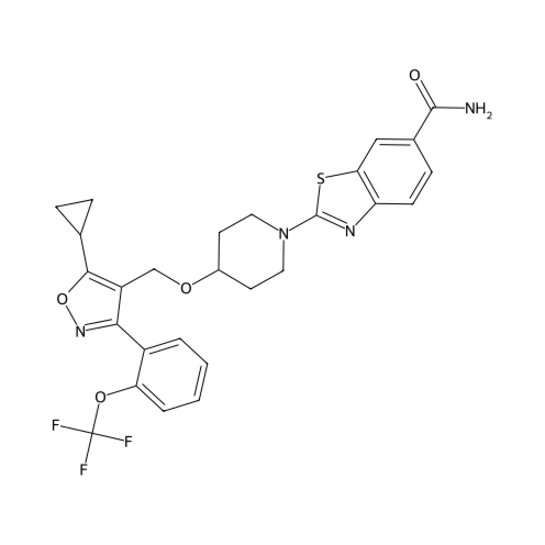 NC(=O)c1ccc2nc(N3CCC(OCc4c(-c5ccccc5OC(F)(F)F)noc4C4CC4)CC3)sc2c1